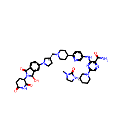 CN1CCN([C@@H]2CCCN(c3cnc(C(N)=O)c(Nc4ccc(C5CCN(C[C@H]6CCN(c7ccc8c(c7)C(O)N(C7CCC(=O)NC7=O)C8=O)C6)CC5)nc4)n3)C2)C1=O